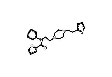 O=C(c1ccco1)N(CCN1CCN(CCc2cccs2)CC1)c1ccccc1